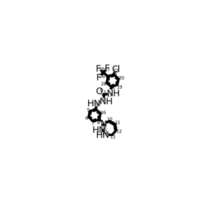 O=C(NNc1cccc(N2C=C=CCNN2)c1)Nc1ccc(Cl)c(C(F)(F)F)c1